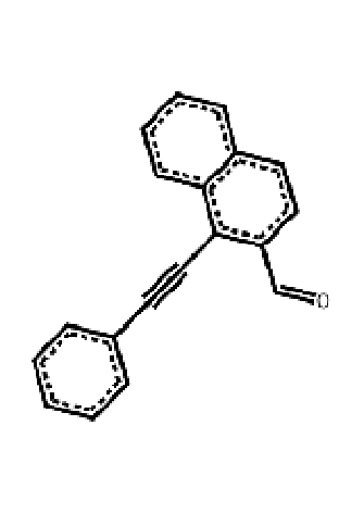 O=Cc1ccc2ccccc2c1C#Cc1ccccc1